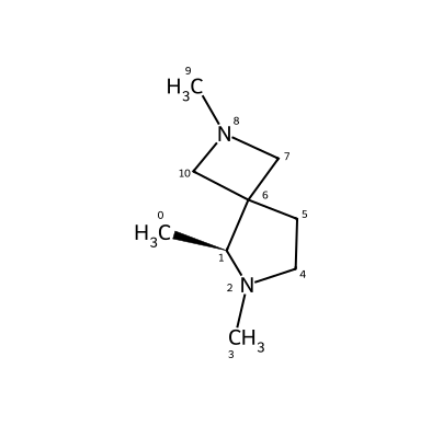 C[C@@H]1N(C)CCC12CN(C)C2